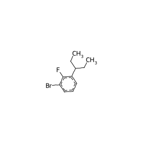 CCC(CC)c1cccc(Br)c1F